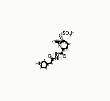 O=C(CC1CCNC1)NNC(=O)[C@@H]1CCC2CN1C(=O)N2OS(=O)(=O)O